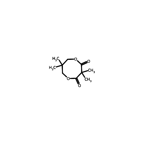 CC1(C)COC(=O)C(C)(C)C(=O)OC1